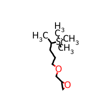 CC(CCCOCC1CO1)[Si](C)(C)C